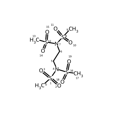 CS(=O)(=O)N(CCN(S(C)(=O)=O)S(C)(=O)=O)S(C)(=O)=O